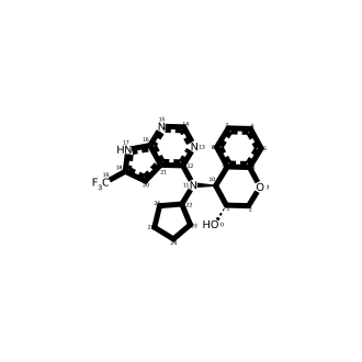 O[C@H]1COc2ccccc2[C@@H]1N(c1ncnc2[nH]c(C(F)(F)F)cc12)C1CCCC1